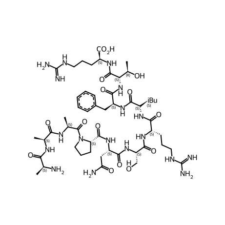 CC[C@H](C)[C@H](NC(=O)[C@H](CCCNC(=N)N)NC(=O)[C@H](CO)NC(=O)[C@H](CC(N)=O)NC(=O)[C@@H]1CCCN1C(=O)[C@H](C)NC(=O)[C@H](C)NC(=O)[C@H](C)N)C(=O)N[C@@H](Cc1ccccc1)C(=O)N[C@H](C(=O)N[C@@H](CCCNC(=N)N)C(=O)O)[C@@H](C)O